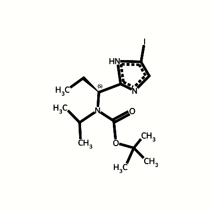 CC[C@@H](c1ncc(I)[nH]1)N(C(=O)OC(C)(C)C)C(C)C